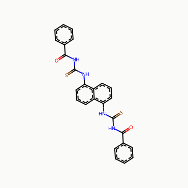 O=C(NC(=S)Nc1cccc2c(NC(=S)NC(=O)c3ccccc3)cccc12)c1ccccc1